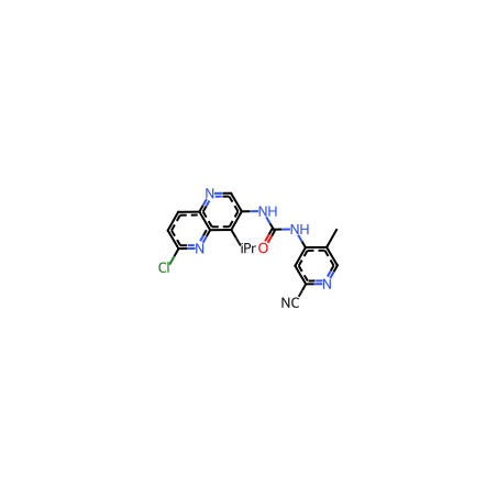 Cc1cnc(C#N)cc1NC(=O)Nc1cnc2ccc(Cl)nc2c1C(C)C